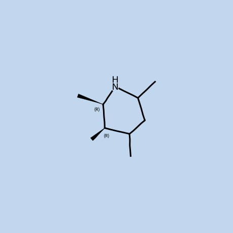 CC1CC(C)[C@@H](C)[C@@H](C)N1